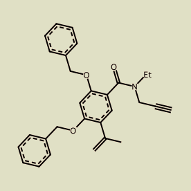 C#CCN(CC)C(=O)c1cc(C(=C)C)c(OCc2ccccc2)cc1OCc1ccccc1